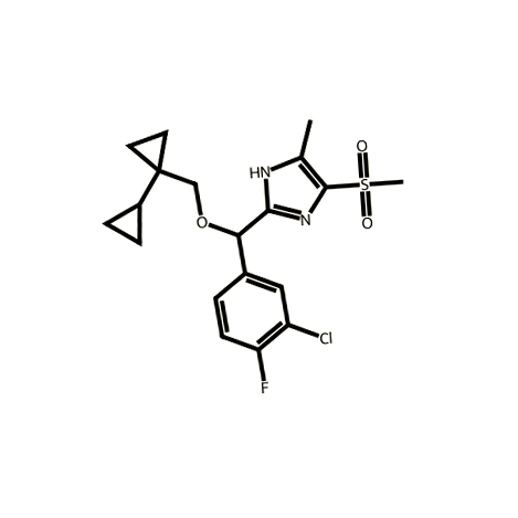 Cc1[nH]c(C(OCC2(C3CC3)CC2)c2ccc(F)c(Cl)c2)nc1S(C)(=O)=O